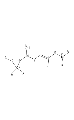 C/C(=C\CC(O)C1C(C)C1(C)C)CN(C)C